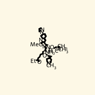 CCC(=O)CCCCC[C@H](NC(=O)[C@H]1CC12CCN(C)CC2)c1nc(-c2cc3ccc(-n4cccn4)cc3nc2OC)cn1COCC[Si](C)(C)C